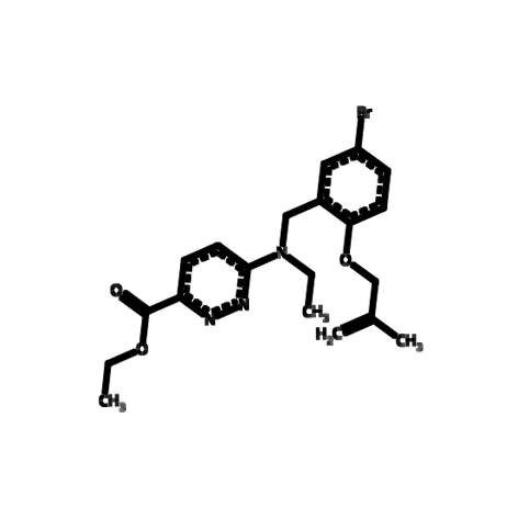 C=C(C)COc1ccc(Br)cc1CN(CC)c1ccc(C(=O)OCC)nn1